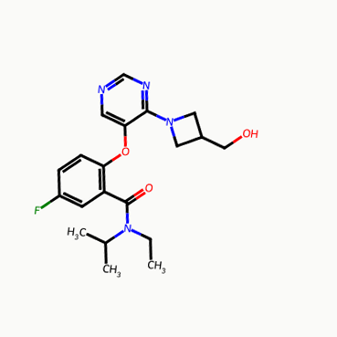 CCN(C(=O)c1cc(F)ccc1Oc1cncnc1N1CC(CO)C1)C(C)C